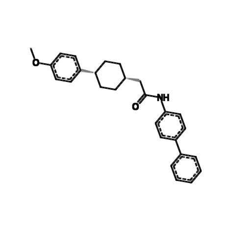 COc1ccc([C@H]2CC[C@@H](CC(=O)Nc3ccc(-c4ccccc4)cc3)CC2)cc1